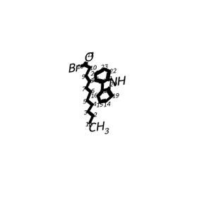 CCCCCCCCCCCC(=O)Br.c1ccc2c(c1)[nH]c1ccccc12